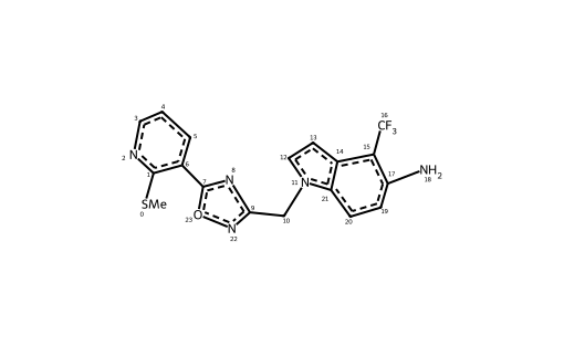 CSc1ncccc1-c1nc(Cn2ccc3c(C(F)(F)F)c(N)ccc32)no1